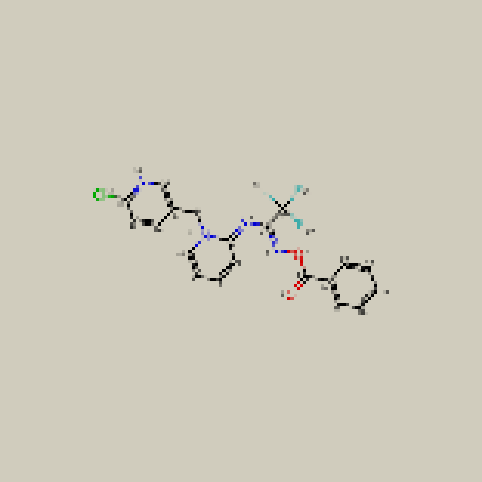 O=C(ON=C(N=c1ccccn1Cc1ccc(Cl)nc1)C(F)(F)F)c1ccccc1